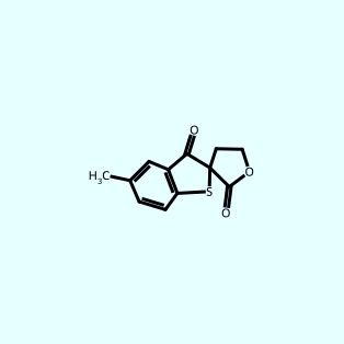 Cc1ccc2c(c1)C(=O)C1(CCOC1=O)S2